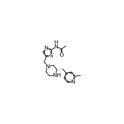 CC(=O)Nc1ncc(CN2CCN[C@@H](Cc3ccnc(C)c3)C2)s1